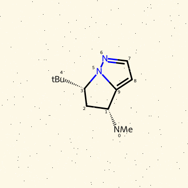 CN[C@@H]1C[C@H](C(C)(C)C)n2nccc21